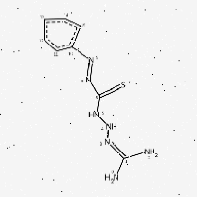 NC(N)=NNNC(=S)/N=N/c1ccccc1